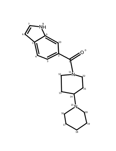 O=C(c1ccc2[c]c[nH]c2c1)N1CCC(N2CCCCC2)CC1